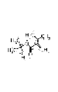 C=C(C(=O)OC(C)(C)C)C(C)C